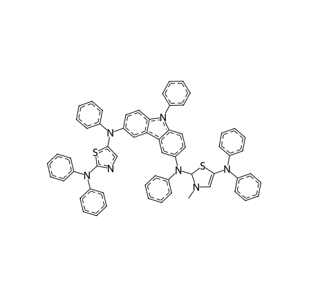 CN1C=C(N(c2ccccc2)c2ccccc2)SC1N(c1ccccc1)c1ccc2c(c1)c1cc(N(c3ccccc3)c3cnc(N(c4ccccc4)c4ccccc4)s3)ccc1n2-c1ccccc1